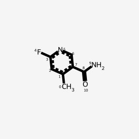 Cc1cc(F)ncc1C(N)=O